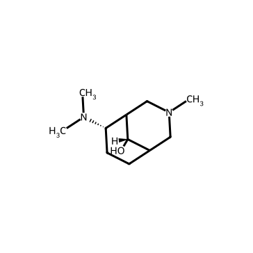 CN1CC2CC[C@H](N(C)C)C(C1)[C@H]2O